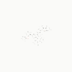 Brc1cccc2c1-c1ccccc1C2(c1ccc(-c2cccc3c2oc2ccccc23)cc1)c1ccc(-c2cccc3c2sc2ccccc23)cc1